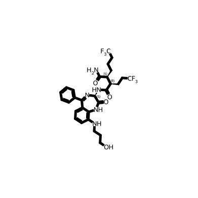 NC(=O)[C@@H](CCCC(F)(F)F)[C@@H](CCC(F)(F)F)C(=O)N[C@H]1N=C(c2ccccc2)c2cccc(NCCCO)c2NC1=O